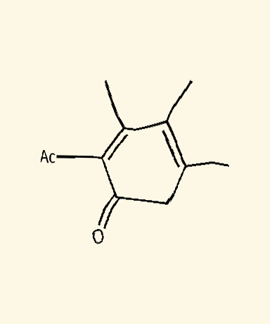 CC(=O)C1=C(C)C(C)=C(C)CC1=O